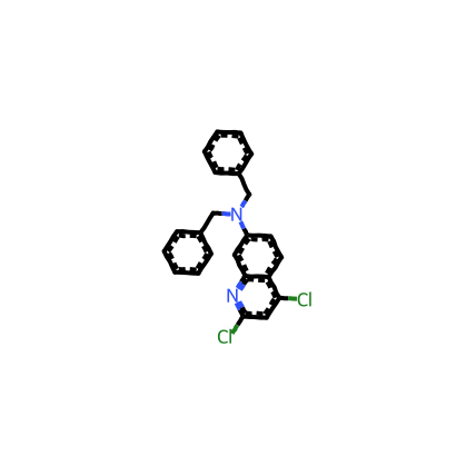 Clc1cc(Cl)c2ccc(N(Cc3ccccc3)Cc3ccccc3)cc2n1